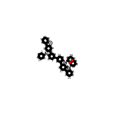 c1ccc(-n2c3ccc(-c4ccc5c(c4)c4ccc6c7ccccc7n(-c7ccccc7)c6c4n5-c4ccccc4)cc3c3cc4oc5ccccc5c4cc32)cc1